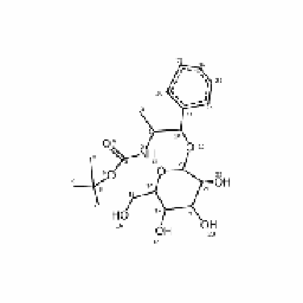 CC(NC(=O)OC(C)(C)C)C(OC1OC(CO)C(O)C(O)[C@@H]1O)c1ccccc1